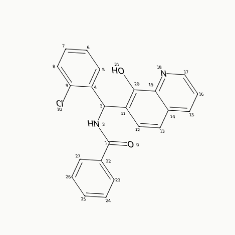 O=C(NC(c1ccccc1Cl)c1ccc2cccnc2c1O)c1ccccc1